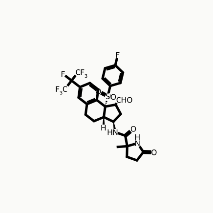 CC1(C(=O)N[C@@H]2CC(C=O)[C@]3(S(=O)(=O)c4ccc(F)cc4)c4ccc(C(F)(C(F)(F)F)C(F)(F)F)cc4CC[C@@H]23)CCC(=O)N1